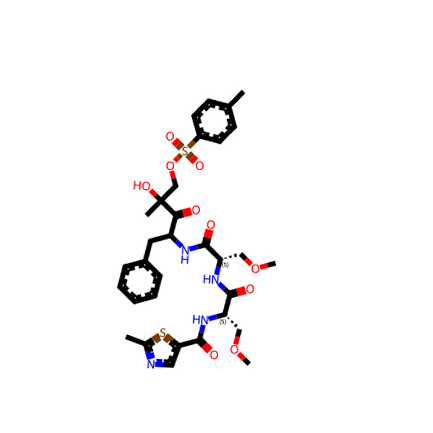 COC[C@H](NC(=O)c1cnc(C)s1)C(=O)N[C@@H](COC)C(=O)NC(Cc1ccccc1)C(=O)C(C)(O)COS(=O)(=O)c1ccc(C)cc1